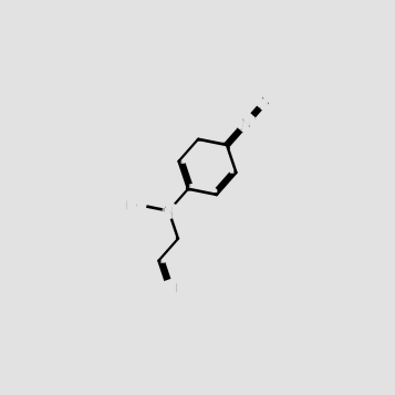 C=CCN(C)C1=CCC(=[N+]=[N-])C=C1